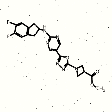 COC(=O)C1CN(c2nnc(-c3cnc(NC4Cc5cc(F)c(F)cc5C4)nc3)o2)C1